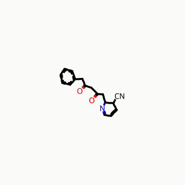 N#CC1C=CC=NC1CC(=O)CC(=O)Cc1ccccc1